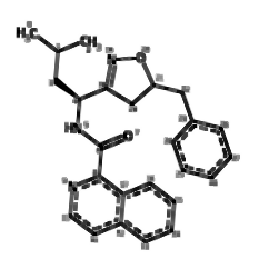 CC(C)C[C@H](NC(=O)c1nccc2ccccc12)C1=NOC(Cc2ccccc2)C1